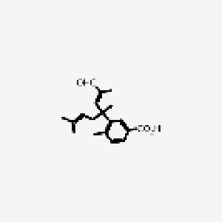 CC(C)=CCC(C)(/C=C(\C)C=O)c1cc(C(=O)O)ccc1C